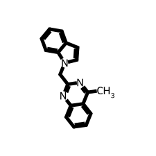 Cc1nc(Cn2ccc3ccccc32)nc2ccccc12